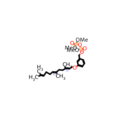 COP(=O)(OC)OP(=O)(OC)OCc1cccc(OC/C=C(\C)CC/C(C)=C/CCC=C(C)C)c1